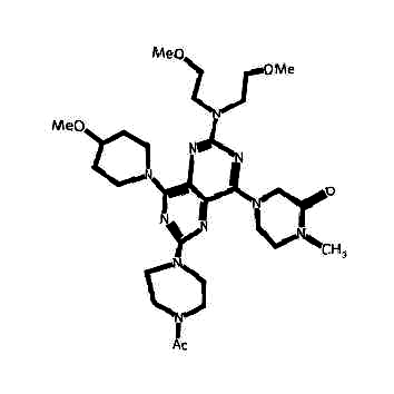 COCCN(CCOC)c1nc(N2CCN(C)C(=O)C2)c2nc(N3CCN(C(C)=O)CC3)nc(N3CCC(OC)CC3)c2n1